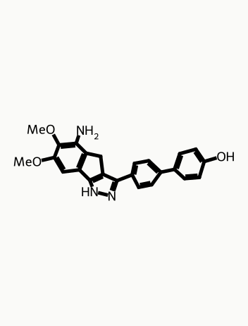 COc1cc2c(c(N)c1OC)Cc1c(-c3ccc(-c4ccc(O)cc4)cc3)n[nH]c1-2